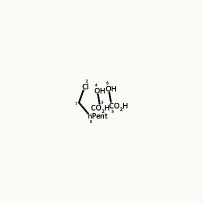 CCCCCCCl.O=C(O)O.O=C(O)O